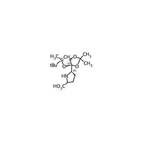 CC1(C)OC[C@@](O[Si](C)(C)C(C)(C)C)([C@H]2CCC(C(=O)O)N2)O1